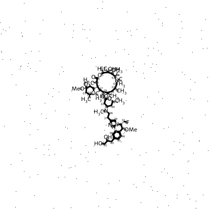 CC[C@H]1OC(=O)[C@H](C)C([C@H]2C[C@@](C)(OC)C[C@H](C)O2)[C@H](C)[C@@H](O[C@H]2C[C@@H](N(C)CCc3cn([C@H](CF)[C@H](OC)c4ccc(CC(O)CO)cc4)nn3)C[C@@H](C)O2)[C@](C)(O)C[C@@H](C)CN(C)[C@H](C)[C@@H](O)[C@]1(C)O